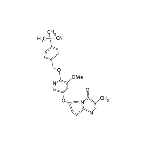 COc1cc(Oc2ccc3ncc(C)c(=O)n3c2)cnc1OCc1ccc(C(C)(C)C#N)cc1